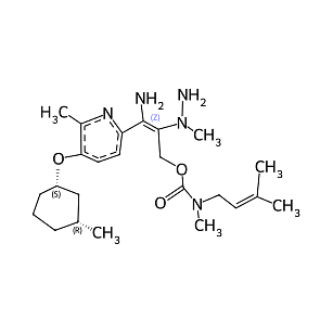 CC(C)=CCN(C)C(=O)OC/C(=C(/N)c1ccc(O[C@H]2CCC[C@@H](C)C2)c(C)n1)N(C)N